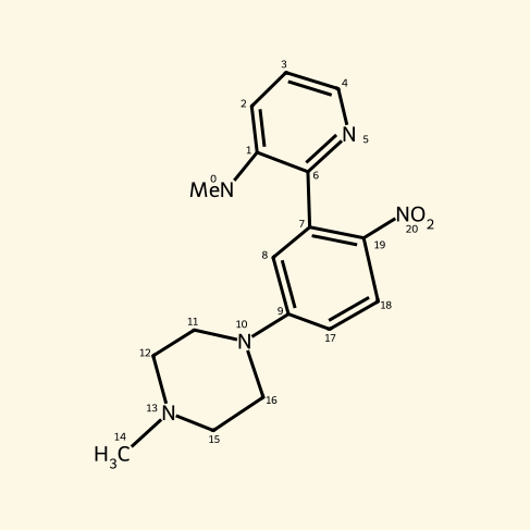 CNc1cccnc1-c1cc(N2CCN(C)CC2)ccc1[N+](=O)[O-]